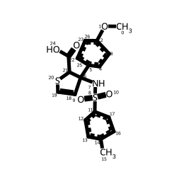 COc1ccc(C2(NS(=O)(=O)c3ccc(C)cc3)C=CSC2C(=O)O)cc1